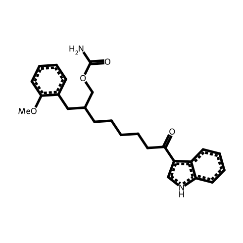 COc1ccccc1CC(CCCCCC(=O)c1c[nH]c2ccccc12)COC(N)=O